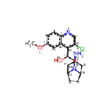 COc1ccc2ncc(Cl)c(C(O)CN3C4CCC3CC(N)C4)c2c1